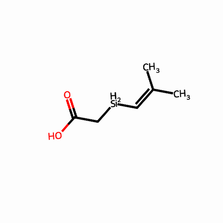 CC(C)=C[SiH2]CC(=O)O